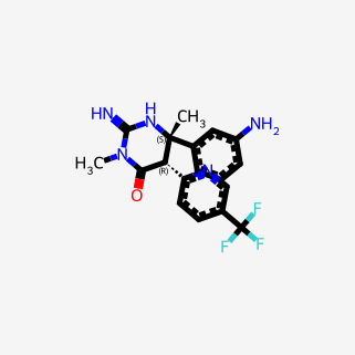 CN1C(=N)N[C@](C)(c2cccc(N)c2)[C@H](c2ccc(C(F)(F)F)cn2)C1=O